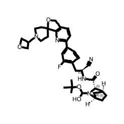 CC(C)(C)OC(O)N1[C@@H]2CC[C@@H](C2)[C@H]1C(=O)N[C@H](C#N)Cc1ccc(-c2ccc3c(n2)C2(CCN(C4COC4)CC2)OC3)cc1F